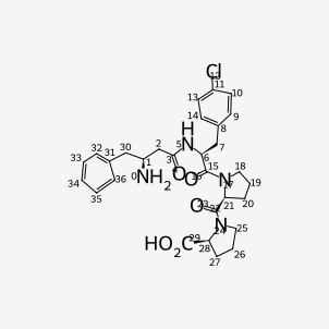 N[C@H](CC(=O)N[C@@H](Cc1ccc(Cl)cc1)C(=O)N1CCC[C@H]1C(=O)N1CCC[C@H]1C(=O)O)Cc1ccccc1